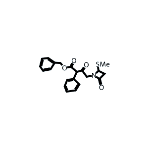 CSC1CC(=O)N1CC(=O)C(C(=O)OCc1ccccc1)c1ccccc1